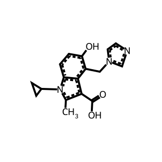 Cc1c(C(=O)O)c2c(Cn3ccnc3)c(O)ccc2n1C1CC1